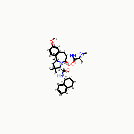 CN[C@@H](C)C(=O)N[C@H]1Cc2cc(OC)ccc2[C@H]2CC(C)(C)[C@@H](C(=O)N[C@@H]3CCCc4ccccc43)N2C1=O